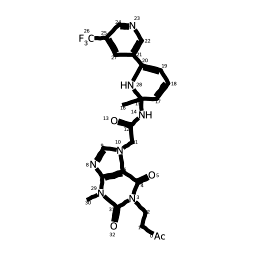 CC(=O)CCn1c(=O)c2c(ncn2CC(=O)NC2(C)C=CC=C(c3cncc(C(F)(F)F)c3)N2)n(C)c1=O